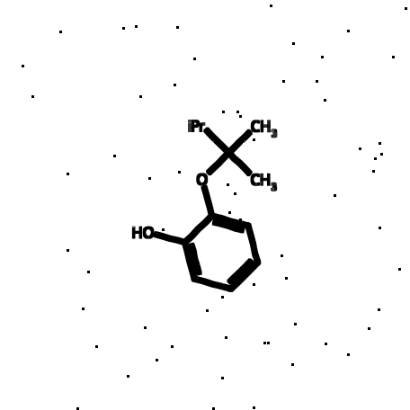 CC(C)C(C)(C)Oc1ccccc1O